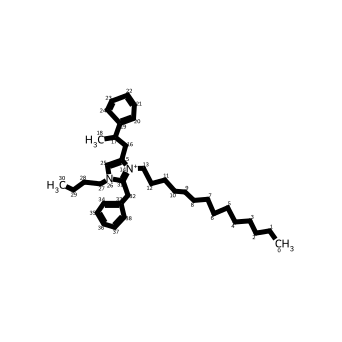 CCCCCCCCCCCCCC[n+]1c(CC(C)c2ccccc2)cn(CCCC)c1Cc1ccccc1